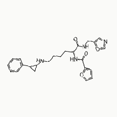 O=C(NC(CCCCNC1CC1c1ccccc1)C(=O)NCc1cnco1)c1ccco1